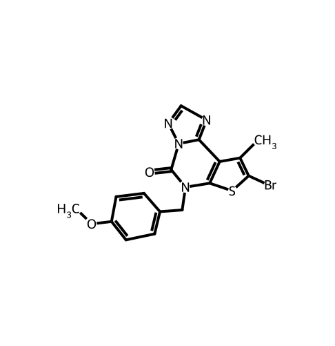 COc1ccc(Cn2c(=O)n3ncnc3c3c(C)c(Br)sc32)cc1